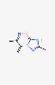 C=C1C(C)=NB=C2NC(C)=NN12